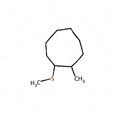 CSC1CCCCCCC1C